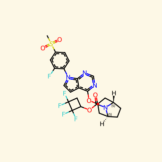 CS(=O)(=O)c1ccc(-n2ccc3c(OC4C[C@@H]5CC[C@@H](C4)N5C(=O)OC4CC(F)(F)C4(F)F)ncnc32)c(F)c1